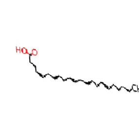 CCCCC/C=C/C/C=C/C/C=C/C/C=C/C/C=C\CCC(=O)O